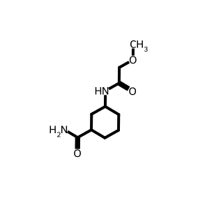 COCC(=O)NC1CCCC(C(N)=O)C1